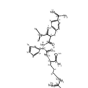 CN(C)C(=O)C(Cc1ccc(C(=N)N)cc1)C(=O)N[C@H](C(=O)NC(CCCNC(=N)N)C(N)=O)c1ccccc1